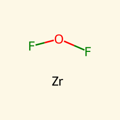 FOF.[Zr]